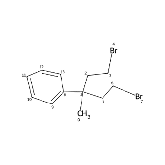 CC(CCBr)(CCBr)c1ccccc1